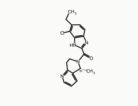 CCc1ccc2nc(C(=O)N3CCc4ncccc4[C@H]3C)[nH]c2c1Cl